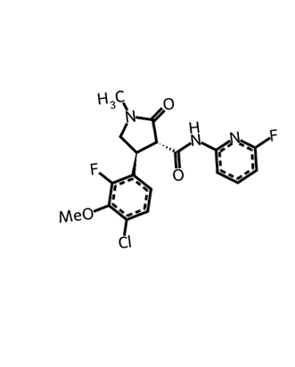 COc1c(Cl)ccc([C@H]2CN(C)C(=O)[C@@H]2C(=O)Nc2cccc(F)n2)c1F